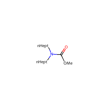 CCCCCCCN(CCCCCCC)C(=O)OC